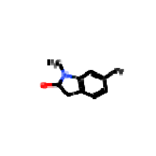 CC(C)c1ccc2c(c1)N(C)C(=O)C2